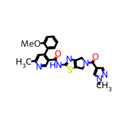 COc1ccccc1-c1cc(C)ncc1C(=O)Nc1nc2c(s1)CN(C(=O)c1cnn(C)c1)C2